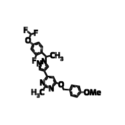 COc1ccc(COc2cc(-c3cnn(C(C)c4ccc(OC(F)F)cc4F)c3)nc(C)n2)cc1